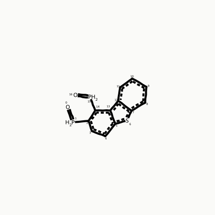 O=[PH2]c1ccc2sc3ccccc3c2c1[PH2]=O